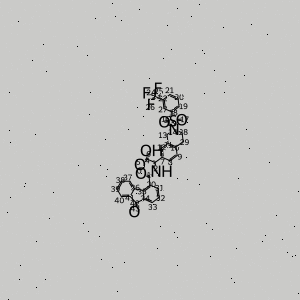 O=C(NC(C(=O)O)c1ccc2c(c1)CN(S(=O)(=O)c1cccc(C(F)(F)F)c1)CC2)c1cccc2c1-c1ccccc1C2=O